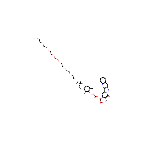 CC[C@@]1(OC(=O)COc2c(C)cc3c(c2C)CCC(C)(C(=O)OCCOCCOCCOCCOCCOCCOCCOC)O3)C(=O)OCc2c1cc1n(c2=O)Cc2cc3ccccc3nc2-1